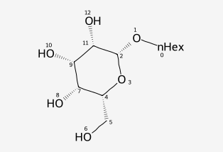 CCCCCCO[C@@H]1O[C@H](CO)[C@H](O)[C@H](O)[C@@H]1O